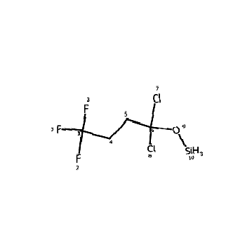 FC(F)(F)CCC(Cl)(Cl)O[SiH3]